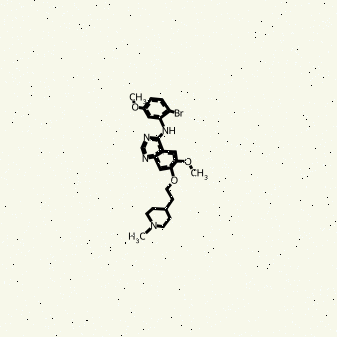 COc1ccc(Br)c(Nc2ncnc3cc(OCCC4CCN(C)CC4)c(OC)cc23)c1